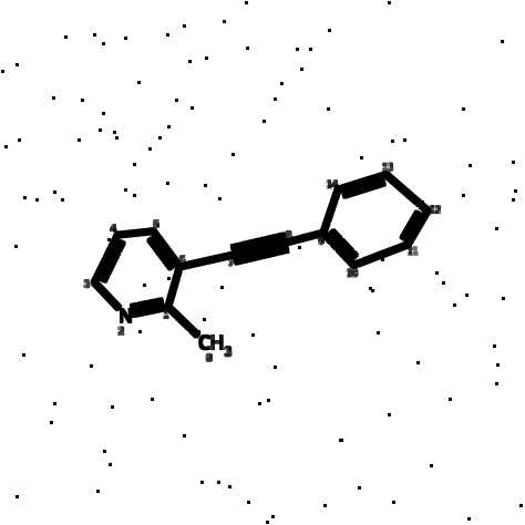 Cc1ncccc1C#Cc1ccccc1